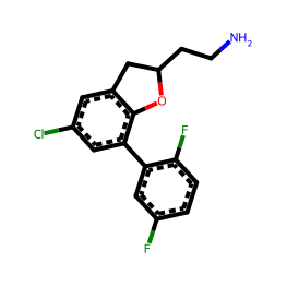 NCCC1Cc2cc(Cl)cc(-c3cc(F)ccc3F)c2O1